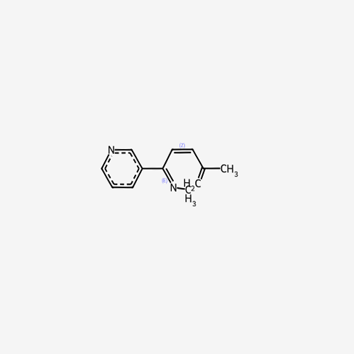 C=C(C)/C=C\C(=N/C)c1cccnc1